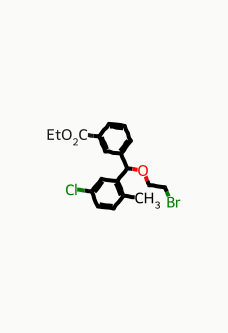 CCOC(=O)c1cccc(C(OCCBr)c2cc(Cl)ccc2C)c1